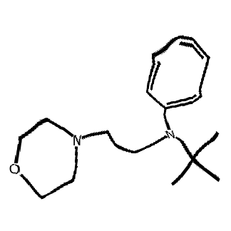 CC(C)(C)N(CCN1CCOCC1)c1ccccc1